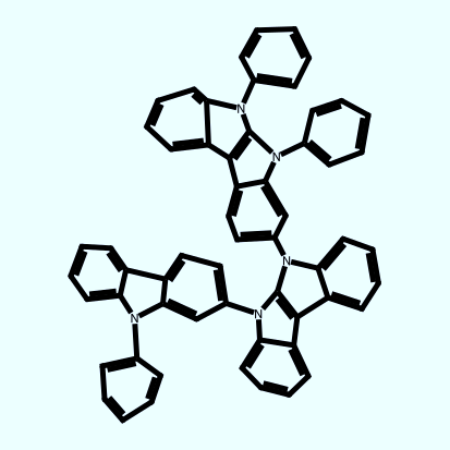 c1ccc(-n2c3ccccc3c3ccc(-n4c5ccccc5c5c6ccccc6n(-c6ccc7c8c9ccccc9n(-c9ccccc9)c8n(-c8ccccc8)c7c6)c54)cc32)cc1